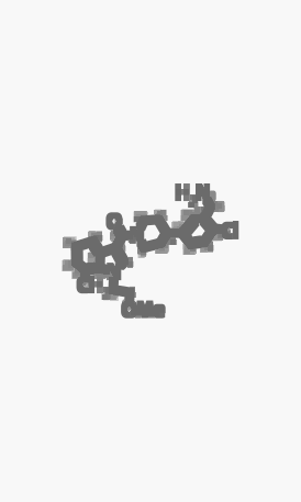 COCCn1cc(C(=O)N2CCC(c3ccc(Cl)c(CN)c3)CC2)c2cccc(C)c21